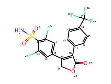 NS(=O)(=O)c1c(F)cc(C2=C(c3ccc(C(F)(F)F)cc3)C(=O)OC2)cc1F